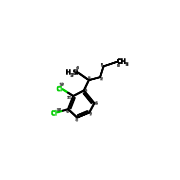 CCCC([SiH3])c1cccc(Cl)c1Cl